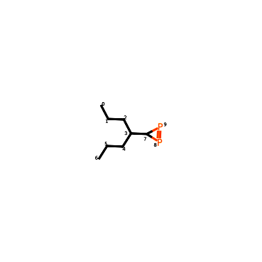 CCCC(CCC)C1P=P1